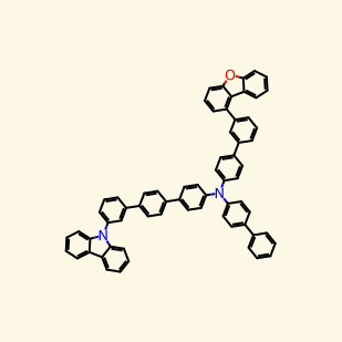 c1ccc(-c2ccc(N(c3ccc(-c4ccc(-c5cccc(-n6c7ccccc7c7ccccc76)c5)cc4)cc3)c3ccc(-c4cccc(-c5cccc6oc7ccccc7c56)c4)cc3)cc2)cc1